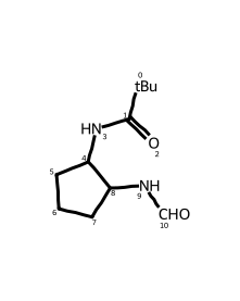 CC(C)(C)C(=O)NC1CCCC1NC=O